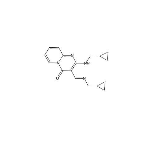 O=c1c(/C=N/CC2CC2)c(NCC2CC2)nc2ccccn12